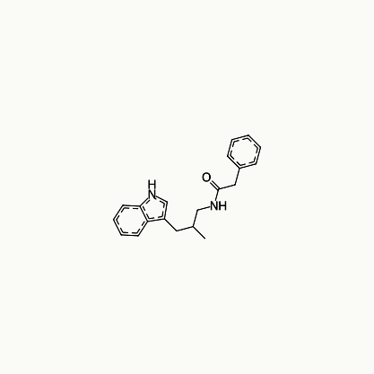 CC(CNC(=O)Cc1ccccc1)Cc1c[nH]c2ccccc12